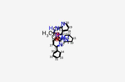 CC(C)(C)OC(=O)N1CC2CCC(C1)N2n1c(-c2cccnc2N)nc2ccc(-c3ccccc3)nc21